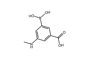 CNc1cc(B(O)O)cc(C(=O)O)c1